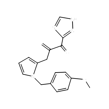 COc1ccc(Cn2cccc2CC(=O)C(=O)c2nc[nH]n2)cc1